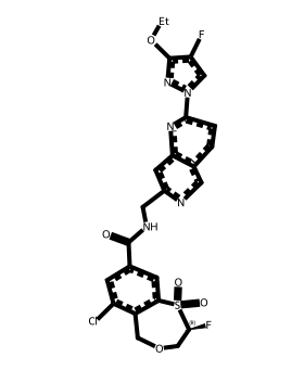 CCOc1nn(-c2ccc3cnc(CNC(=O)c4cc(Cl)c5c(c4)S(=O)(=O)[C@@H](F)COC5)cc3n2)cc1F